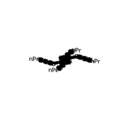 CCCc1ccc(-c2ccc(-c3ccc(OCCCCCCOc4c(-c5ccc(C6CCC(CCC)CC6)cc5)cc5ccccc5c4-c4c(OCCCCCCOc5ccc(-c6ccc(-c7ccc(CCC)cc7)cc6)cc5)c(-c5ccc(C6CCC(CCC)CC6)cc5)cc5ccccc45)cc3)cc2)cc1